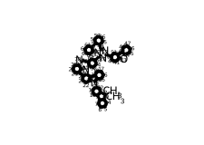 CC1(C)c2ccccc2-c2ccc(-n3c4ccccc4c4c3ccc3c5ccccc5n(-c5ccc(-c6nc(-c7ccc8oc9ccccc9c8c7)nc(-c7ccccc7-c7ccccc7)n6)cc5C#N)c34)cc21